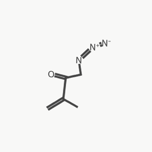 C=C(C)C(=O)CN=[N+]=[N-]